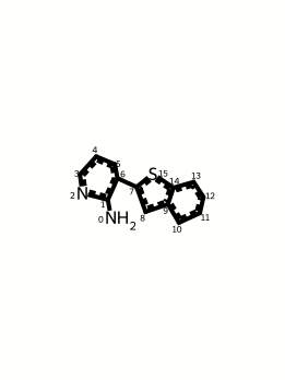 Nc1ncccc1-c1cc2ccccc2s1